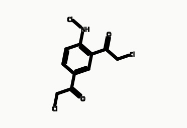 O=C(CCl)c1ccc(NCl)c(C(=O)CCl)c1